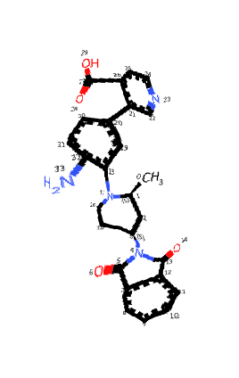 C[C@H]1C[C@@H](N2C(=O)c3ccccc3C2=O)CCN1c1cc(-c2cnccc2C(=O)O)ccc1N